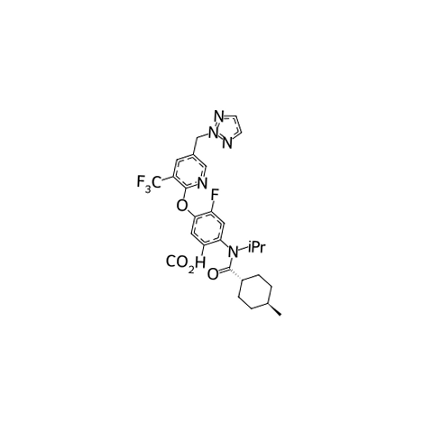 CC(C)N(c1cc(F)c(Oc2ncc(Cn3nccn3)cc2C(F)(F)F)cc1C(=O)O)C(=O)[C@H]1CC[C@H](C)CC1